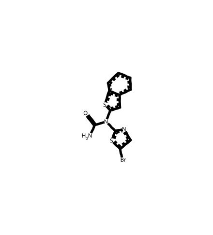 NC(=O)N(c1cc2ccccc2s1)c1ncc(Br)s1